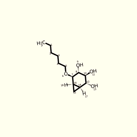 CCCCCCO[C@H]1[C@H](O)[C@@H](O)[C@H](O)[C@H]2C[C@H]21